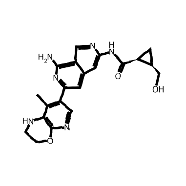 Cc1c(-c2cc3cc(NC(=O)[C@H]4C[C@H]4CO)ncc3c(N)n2)cnc2c1NCCO2